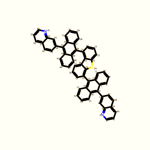 c1cnc2cc(-c3c4ccccc4c(-c4cccc5c4sc4cccc(-c6c7ccccc7c(-c7ccc8cccnc8c7)c7ccccc67)c45)c4ccccc34)ccc2c1